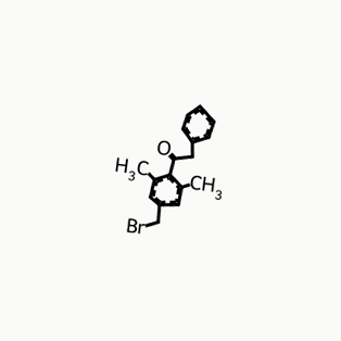 Cc1cc(CBr)cc(C)c1C(=O)Cc1ccccc1